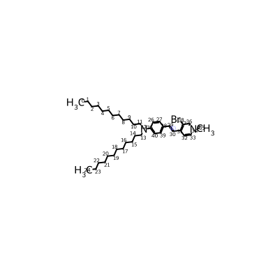 CCCCCCCCCCCCN(CCCCCCCCCCCC)c1ccc(/C=C/c2cc[n+](C)cc2Br)cc1